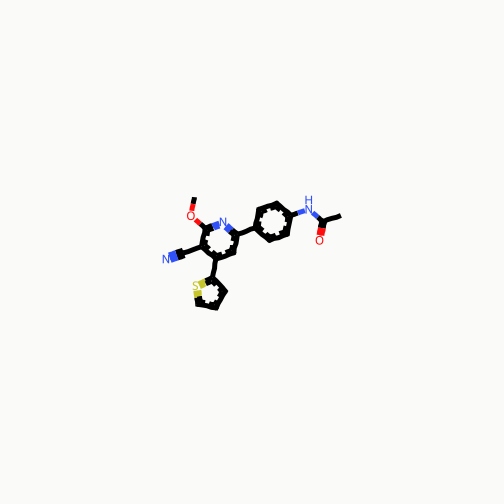 COc1nc(-c2ccc(NC(C)=O)cc2)cc(-c2cccs2)c1C#N